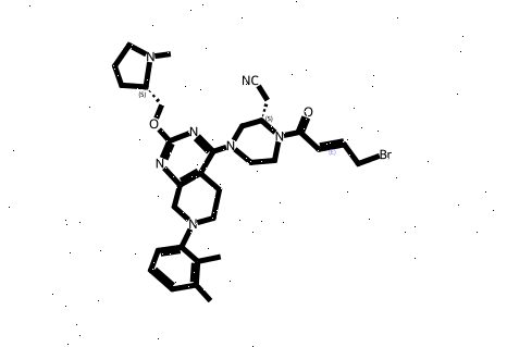 Cc1cccc(N2CCc3c(nc(OC[C@@H]4CCCN4C)nc3N3CCN(C(=O)/C=C/CBr)[C@@H](CC#N)C3)C2)c1C